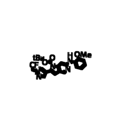 COc1ccccc1Nc1cc2c(cn1)cc(-c1cnn(CC(F)(F)F)c1)n2C(=O)OC(C)(C)C